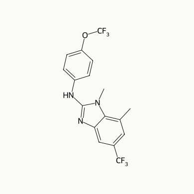 Cc1cc(C(F)(F)F)cc2nc(Nc3ccc(OC(F)(F)F)cc3)n(C)c12